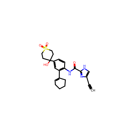 C#Cc1c[nH]c(C(=O)Nc2ccc(C3(O)CCS(=O)(=O)CC3)cc2C2=CCCCC2)n1